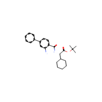 CC(C)(C)OC(=O)[C@@H](NC(=O)c1ccc(-c2ccccc2)cc1N)C1CCCCC1